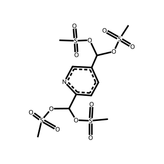 CS(=O)(=O)OC(OS(C)(=O)=O)c1ccc(C(OS(C)(=O)=O)OS(C)(=O)=O)nc1